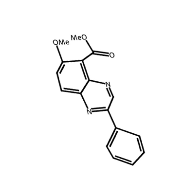 COC(=O)c1c(OC)ccc2nc(-c3ccccc3)cnc12